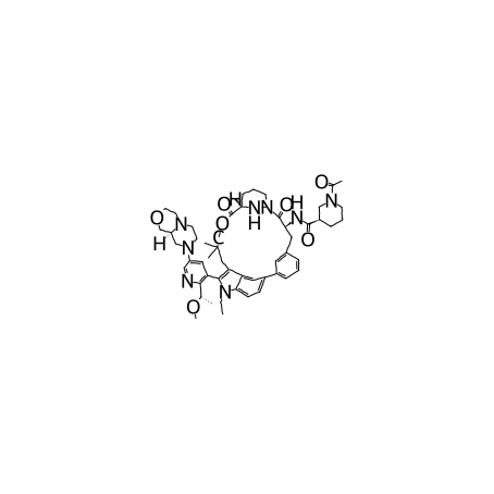 CCn1c(-c2cc(N3CCN4CCOC[C@@H]4C3)cnc2[C@H](C)OC)c2c3cc(ccc31)-c1cccc(c1)C[C@H](NC(=O)[C@@H]1CCCN(C(C)=O)C1)C(=O)N1CCC[C@H](N1)C(=O)OCC(C)(C)C2